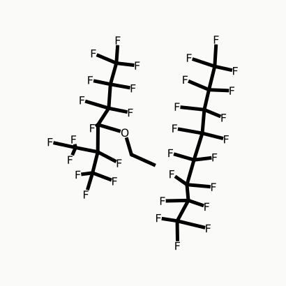 CCOC(F)(C(F)(F)C(F)(F)C(F)(F)F)C(F)(C(F)(F)F)C(F)(F)F.FC(F)(F)C(F)(F)C(F)(F)C(F)(F)C(F)(F)C(F)(F)C(F)(F)C(F)(F)F